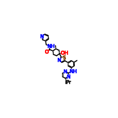 Cc1cc(Nc2nccc(C(C)C)n2)cc(-c2cnc(C3(O)CCC(C(=O)NCc4cccnc4)C(C)C3)s2)c1